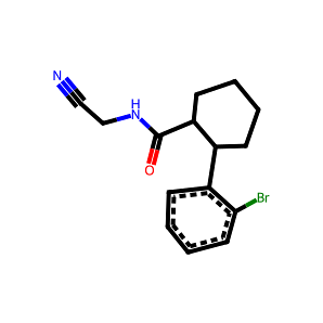 N#CCNC(=O)C1CCCCC1c1ccccc1Br